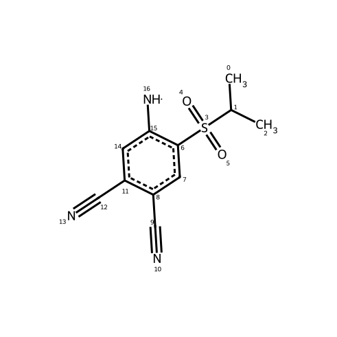 CC(C)S(=O)(=O)c1cc(C#N)c(C#N)cc1[NH]